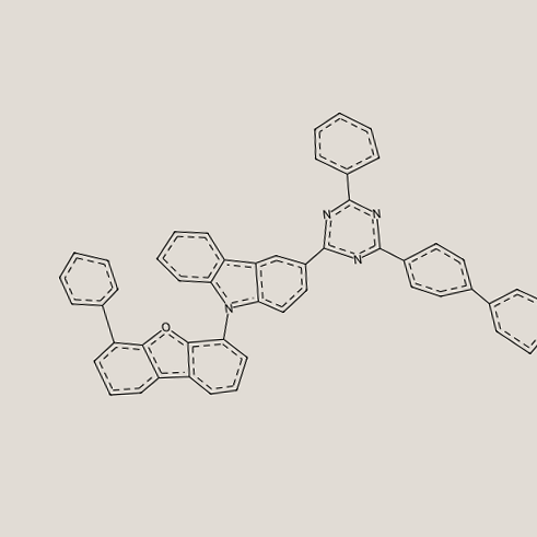 c1ccc(-c2ccc(-c3nc(-c4ccccc4)nc(-c4ccc5c(c4)c4ccccc4n5-c4cccc5c4oc4c(-c6ccccc6)cccc45)n3)cc2)cc1